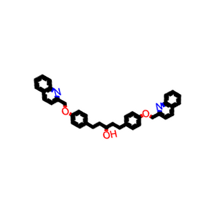 OC(CCc1ccc(OCc2ccc3ccccc3n2)cc1)CCc1ccc(OCc2ccc3ccccc3n2)cc1